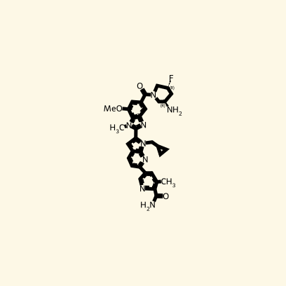 COc1cc(C(=O)N2C[C@H](N)C[C@@H](F)C2)cc2nc(-c3cc4ccc(-c5cnc(C(N)=O)c(C)c5)nc4n3CC3CC3)n(C)c12